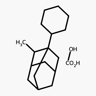 CC1C2CC3CC(C2)CC1(C1CCCCC1)C3.O=C(O)O